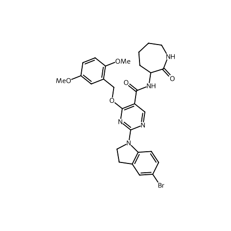 COc1ccc(OC)c(COc2nc(N3CCc4cc(Br)ccc43)ncc2C(=O)NC2CCCCNC2=O)c1